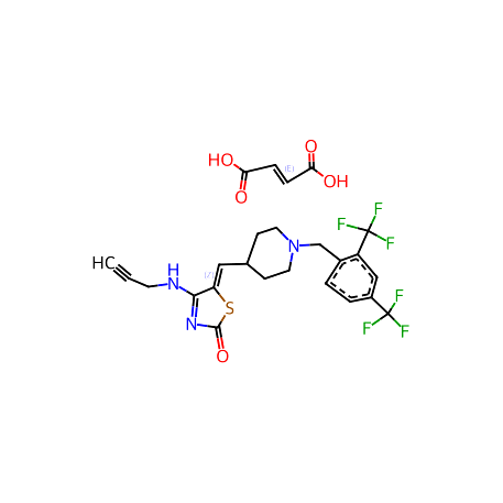 C#CCNC1=NC(=O)S/C1=C\C1CCN(Cc2ccc(C(F)(F)F)cc2C(F)(F)F)CC1.O=C(O)/C=C/C(=O)O